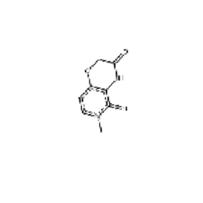 Cn1ccc2c(c1=O)NC(=O)CO2